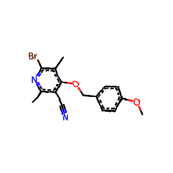 COc1ccc(COc2c(C)c(Br)nc(C)c2C#N)cc1